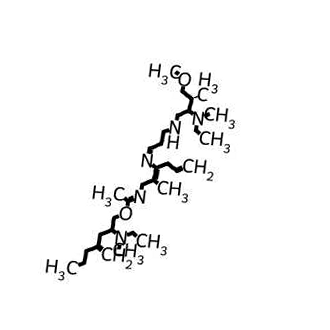 C=CCC(/N=C\CCNCC([C@@H](C)COC)N(C)CC)=C(\C)C/N=C(\C)OCC(CC(=C)CCC)N(C)CC